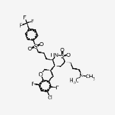 CN(C)CCC[C@@H]1C[C@@H]([C@@H]2COc3c(F)cc(Cl)c(F)c3C2)[C@@H](CCCS(=O)(=O)c2ccc(C(F)(F)F)cc2)NS1(=O)=O